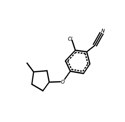 CC1CCC(Oc2ccc(C#N)c(Cl)c2)C1